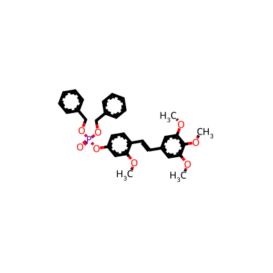 COc1cc(OP(=O)(OCc2ccccc2)OCc2ccccc2)ccc1C=Cc1cc(OC)c(OC)c(OC)c1